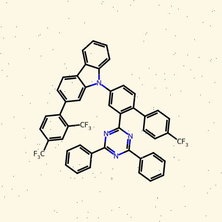 FC(F)(F)c1ccc(-c2ccc(-n3c4ccccc4c4ccc(-c5ccc(C(F)(F)F)cc5C(F)(F)F)cc43)cc2-c2nc(-c3ccccc3)nc(-c3ccccc3)n2)cc1